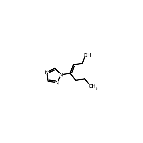 CCCC(=CCO)n1cncn1